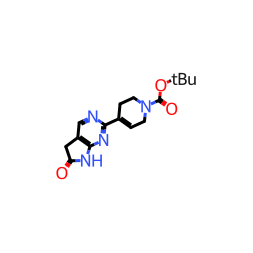 CC(C)(C)OC(=O)N1CC=C(c2ncc3c(n2)NC(=O)C3)CC1